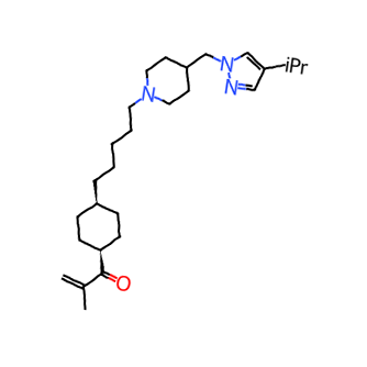 C=C(C)C(=O)[C@H]1CC[C@@H](CCCCCN2CCC(Cn3cc(C(C)C)cn3)CC2)CC1